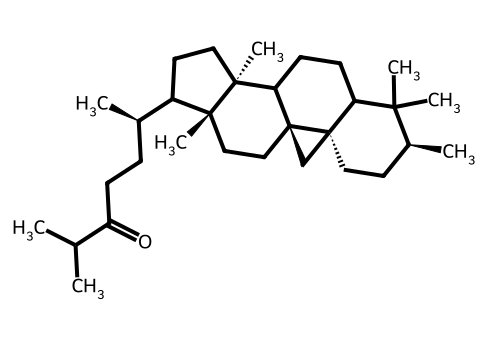 CC(C)C(=O)CC[C@@H](C)C1CC[C@@]2(C)C3CCC4C(C)(C)[C@@H](C)CC[C@@]45C[C@@]35CC[C@]12C